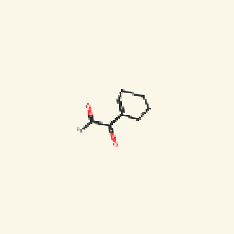 CCC(=O)C(=O)C1=CCCCC1